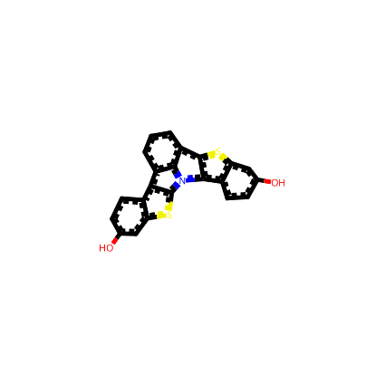 Oc1ccc2c(c1)sc1c2c2cccc3c4sc5cc(O)ccc5c4n1c32